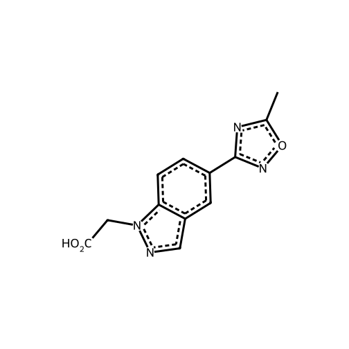 Cc1nc(-c2ccc3c(cnn3CC(=O)O)c2)no1